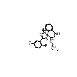 C=CC[C@@H]1CNc2ccccc2[C@]12SC(c1cc(F)ccc1F)=NN2C(C)=O